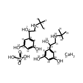 CC(C)(C)NCC(O)c1cc(O)cc(O)c1.CC(C)(C)NCC(O)c1cc(O)cc(O)c1.O=S(=O)(O)O.[CaH2]